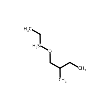 CC[SiH2]OCC(C)CC